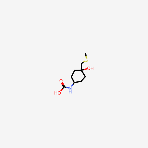 CSCC1(O)CCC(NC(=O)O)CC1